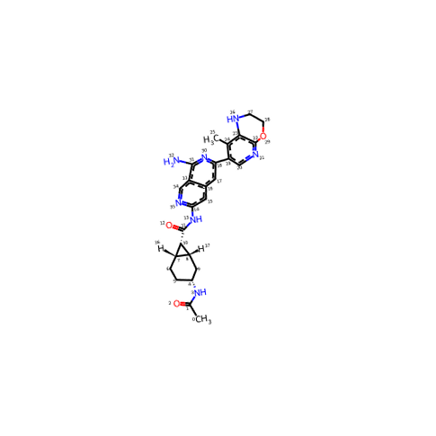 CC(=O)N[C@@H]1CC[C@H]2[C@@H](C1)[C@H]2C(=O)Nc1cc2cc(-c3cnc4c(c3C)NCCO4)nc(N)c2cn1